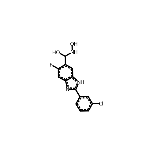 ONC(O)c1cc2[nH]c(-c3cccc(Cl)c3)nc2cc1F